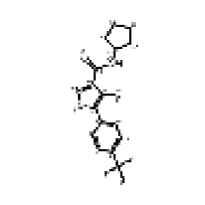 CC(C)(C)c1ccc(-c2onc(C(=O)NC3CCCC3)c2Cl)cc1